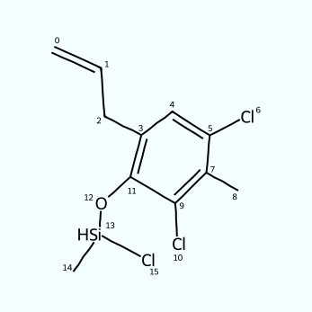 C=CCc1cc(Cl)c(C)c(Cl)c1O[SiH](C)Cl